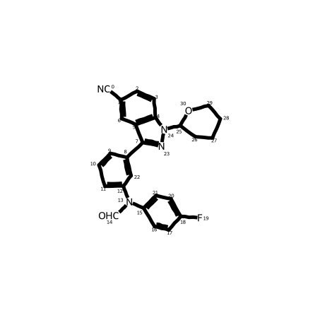 N#Cc1ccc2c(c1)c(-c1cccc(N(C=O)c3ccc(F)cc3)c1)nn2C1CCCCO1